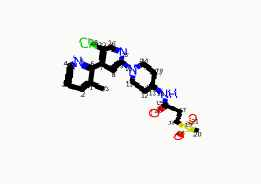 Cc1cccnc1-c1cc(N2CCC(NC(=O)CCS(C)(=O)=O)CC2)ncc1Cl